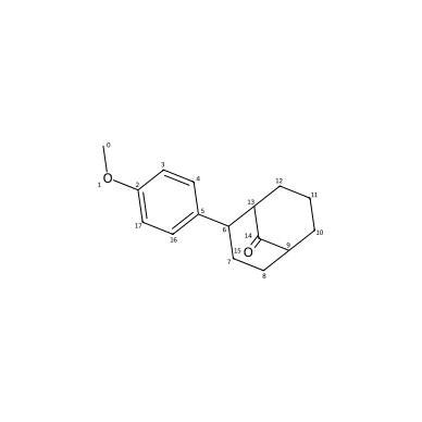 COc1ccc(C2CCC3CCCC2C3=O)cc1